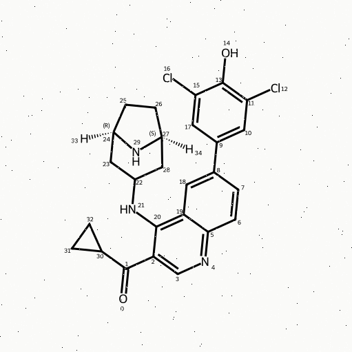 O=C(c1cnc2ccc(-c3cc(Cl)c(O)c(Cl)c3)cc2c1NC1C[C@H]2CC[C@@H](C1)N2)C1CC1